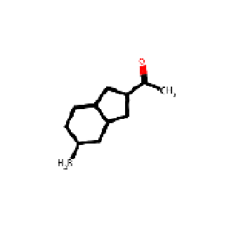 BC1CCC2CC(C(C)=O)CC2C1